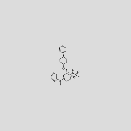 C[C@@H](c1ccccc1)N1CC[C@H](NS(C)(=O)=O)[C@H](COC2CCC(c3ccccc3)CC2)C1